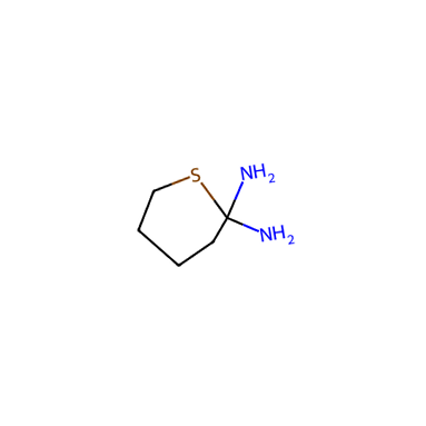 NC1(N)CCCCS1